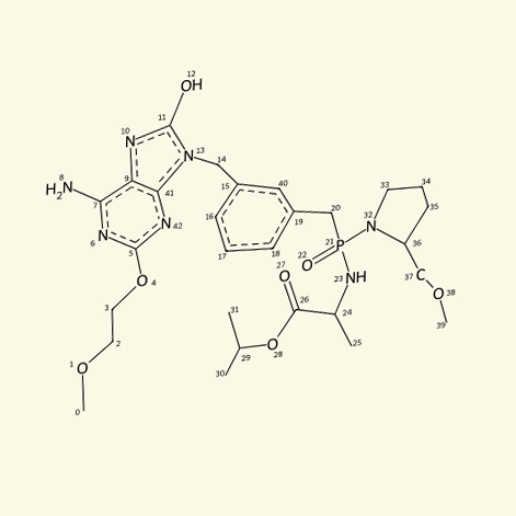 COCCOc1nc(N)c2nc(O)n(Cc3cccc(CP(=O)(NC(C)C(=O)OC(C)C)N4CCCC4COC)c3)c2n1